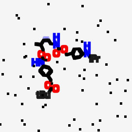 C=C(/C=C\CNC(=O)OCc1ccc(NC(C)C)cc1)COC(=O)Nc1ccc(COC(=O)C(C)(C)C)cc1